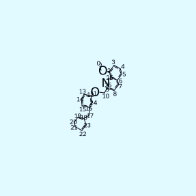 COc1cccc2ccc(COc3cccc(CC4=CCCC=C4)c3)nc12